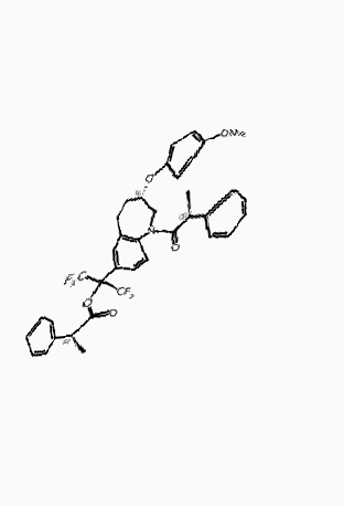 COc1ccc(O[C@H]2CCc3cc(C(OC(=O)[C@@H](C)c4ccccc4)(C(F)(F)F)C(F)(F)F)ccc3N(C(=O)[C@@H](C)c3ccccc3)C2)cc1